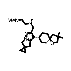 CNCCN(C)Cc1nn2c(c1[C@H]1CC[C@]3(CC1)CC(C)(C)CO3)CC1(CC1)C2